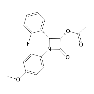 COc1ccc(N2C(=O)[C@@H](OC(C)=O)[C@H]2c2ccccc2F)cc1